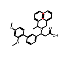 COc1ccc(-c2cccc(C(CC(=O)O)N(Cc3ccccc3)C(C)c3ccccc3)c2)c(OC)c1